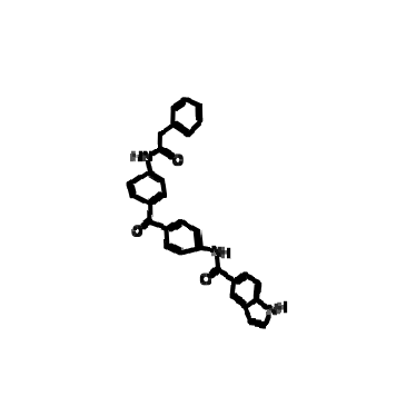 O=C(Cc1ccccc1)Nc1ccc(C(=O)c2ccc(NC(=O)c3ccc4[nH]ccc4c3)cc2)cc1